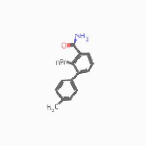 CCCc1c(C(N)=O)cccc1-c1ccc(C)cc1